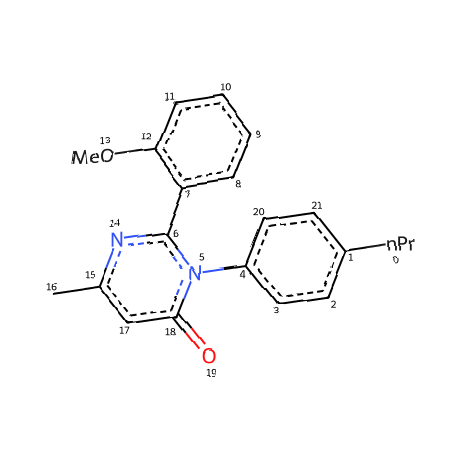 CCCc1ccc(-n2c(-c3ccccc3OC)nc(C)cc2=O)cc1